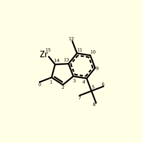 CC1=Cc2c(C(C)(C)C)ccc(C)c2[CH]1[Zr]